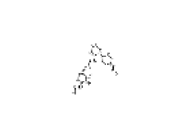 CCCC1CCC(C2CCCCC2CCCOc2ccc(OCC)c(F)c2F)CC1